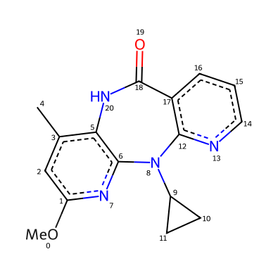 COc1cc(C)c2c(n1)N(C1CC1)c1ncccc1C(=O)N2